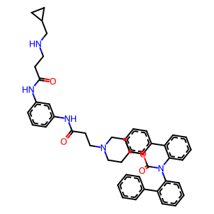 O=C(CCNCC1CC1)Nc1cccc(NC(=O)CCN2CCC(OC(=O)N(c3ccccc3-c3ccccc3)c3ccccc3-c3ccccc3)CC2)c1